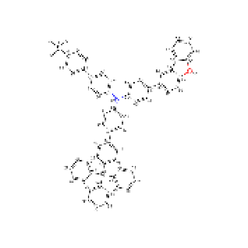 C[Si](C)(C)c1ccc(-c2ccc(N(c3ccc(-c4ccc([Si](c5ccccc5)(c5ccccc5)c5ccccc5)cc4)cc3)c3ccc(-c4ccc5oc6ccccc6c5c4)cc3)cc2)cc1